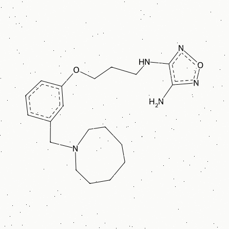 Nc1nonc1NCCCOc1cccc(CN2CCCCCCC2)c1